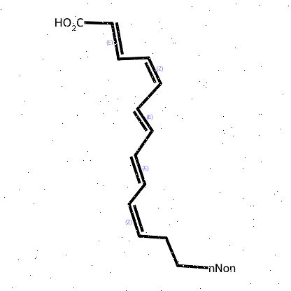 CCCCCCCCCCC\C=C/C=C/C=C/C=C\C=C\C(=O)O